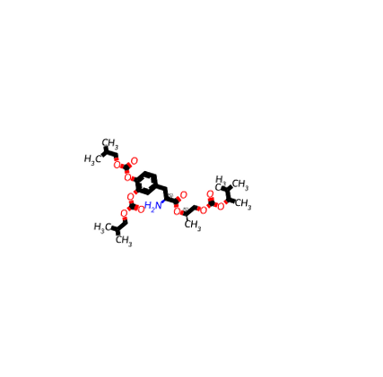 CC(C)COC(=O)Oc1ccc(C[C@H](N)C(=O)O[C@@H](C)COC(=O)OC(C)C(C)C)cc1OC(=O)OCC(C)C